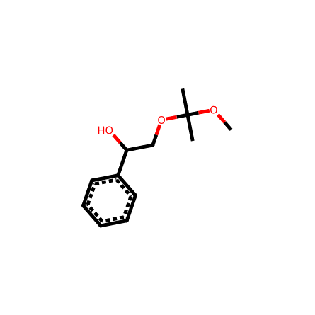 COC(C)(C)OCC(O)c1ccccc1